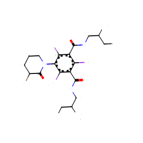 CC(=O)OCC(CNC(=O)c1c(I)c(C(=O)NCC(COC(C)=O)OC(C)=O)c(I)c(N2CCCC(Br)C2=O)c1I)OC(C)=O